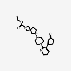 CCOC(=O)N1CC2(CC[C@@H](N3CCN(c4ncccc4C4=CC(=O)CC4)CC3)C2)C1